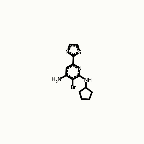 Nc1cc(-c2nccs2)nc(NC2CCCC2)c1Br